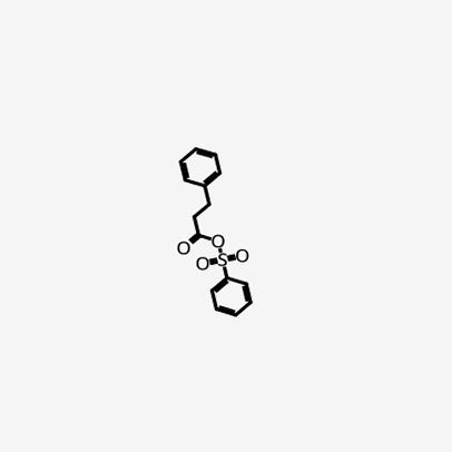 O=C(CCc1ccccc1)OS(=O)(=O)c1ccccc1